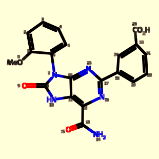 COc1ccccc1-n1c(=O)[nH]c2c(C(N)=O)nc(-c3cccc(C(=O)O)c3)nc21